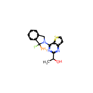 CC(O)c1nc(N2Cc3ccccc3C2(F)P)c2sccc2n1